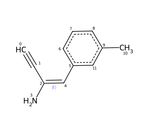 C#C/C(N)=C\c1cccc(C)c1